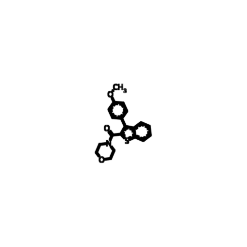 COc1ccc(-c2c(C(=O)N3CCOCC3)sc3ccccc23)cc1